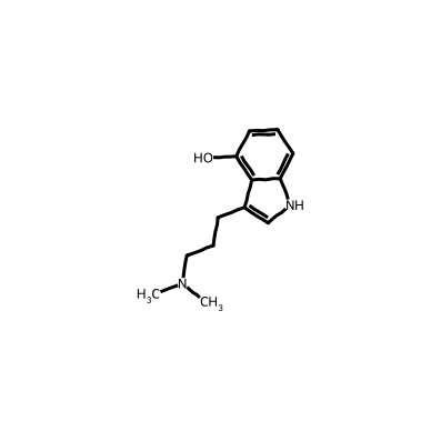 CN(C)CCCc1c[nH]c2cccc(O)c12